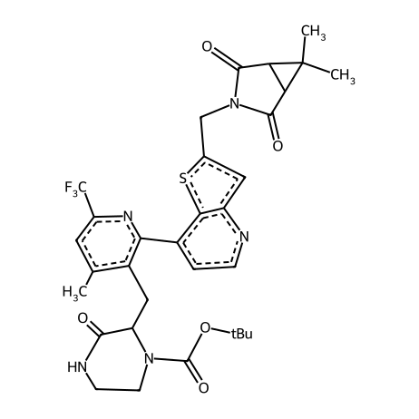 Cc1cc(C(F)(F)F)nc(-c2ccnc3cc(CN4C(=O)C5C(C4=O)C5(C)C)sc23)c1CC1C(=O)NCCN1C(=O)OC(C)(C)C